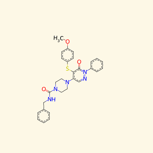 COc1ccc(Sc2c(N3CCN(C(=O)NCc4ccccc4)CC3)cnn(-c3ccccc3)c2=O)cc1